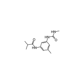 CNC(=O)Nc1cc(C)cc(NC(=O)C(C)C)c1